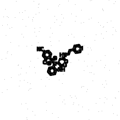 N#Cc1ccc(S(=O)(=O)N2c3ccccc3NC(=O)[C@H]2CC(=O)NCCc2ccncc2)c(Cl)c1